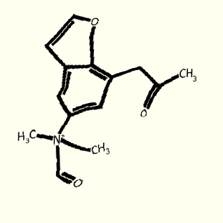 CC(=O)Cc1cc([N+](C)(C)C=O)cc2ccoc12